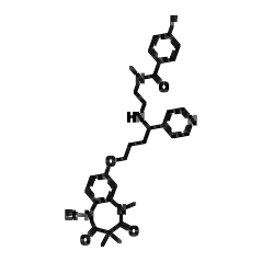 CCN1C(=O)C(C)(C)C(=O)N(C)c2cc(OCCCC(NCCN(C)C(=O)c3ccc(F)cc3)c3ccncc3)ccc21